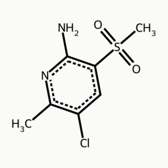 Cc1nc(N)c(S(C)(=O)=O)cc1Cl